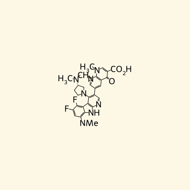 CNc1cc(F)c(F)c2c1[nH]c1ncc(-c3cnc4c(c3)c(=O)c(C(=O)O)cn4C)c(N3CC[C@H](N(C)C)C3)c12